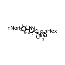 CCCCCCCCCc1ccc(-c2ccc(OCC(OC(=O)CCCCCC)C(F)(F)F)nn2)cc1